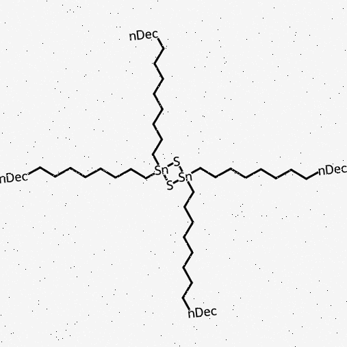 CCCCCCCCCCCCCCCCC[CH2][Sn]1([CH2]CCCCCCCCCCCCCCCCC)[S][Sn]([CH2]CCCCCCCCCCCCCCCCC)([CH2]CCCCCCCCCCCCCCCCC)[S]1